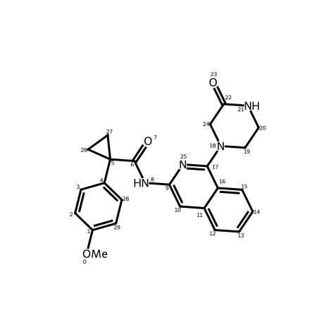 COc1ccc(C2(C(=O)Nc3cc4ccccc4c(N4CCNC(=O)C4)n3)CC2)cc1